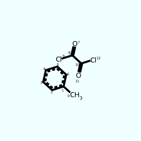 Cc1ccccc1.O=C(Cl)C(=O)Cl